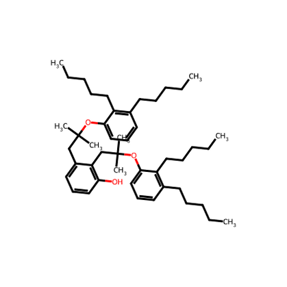 CCCCCc1cccc(OC(C)(C)Cc2cccc(O)c2CC(C)(C)Oc2cccc(CCCCC)c2CCCCC)c1CCCCC